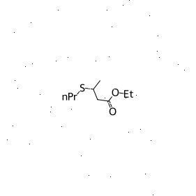 CCCSC(C)CC(=O)OCC